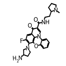 CN1CCCC1CCNC(=O)c1cn2c3c(c(N4CCC(N)C4)c(F)cc3c1=O)Oc1ccccc1-2